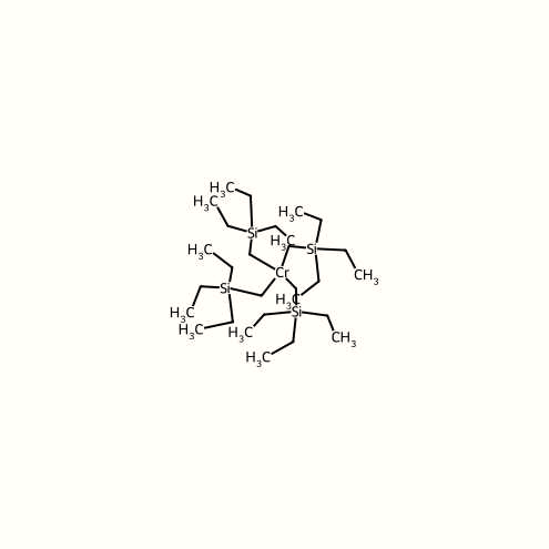 CC[Si](CC)(CC)[CH2][Cr]([CH2][Si](CC)(CC)CC)([CH2][Si](CC)(CC)CC)[CH2][Si](CC)(CC)CC